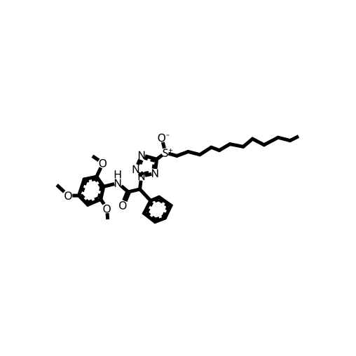 CCCCCCCCCCCC[S+]([O-])c1nnn(C(C(=O)Nc2c(OC)cc(OC)cc2OC)c2ccccc2)n1